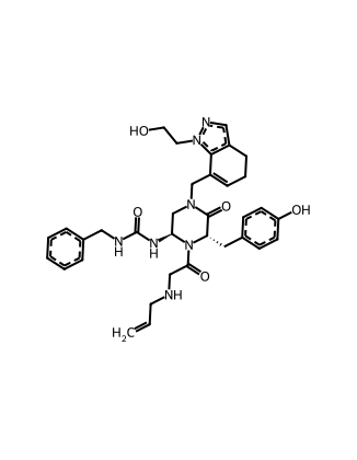 C=CCNCC(=O)N1[C@@H](NC(=O)NCc2ccccc2)CN(CC2=CCCc3cnn(CCO)c32)C(=O)[C@@H]1Cc1ccc(O)cc1